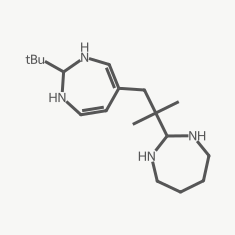 CC(C)(C)C1NC=CC(CC(C)(C)C2NCCCCN2)=CN1